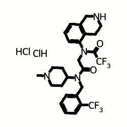 CN1CCC(N(Cc2ccccc2C(F)(F)F)C(=O)CN(C(=O)C(F)(F)F)c2cccc3c2CCNC3)CC1.Cl.Cl